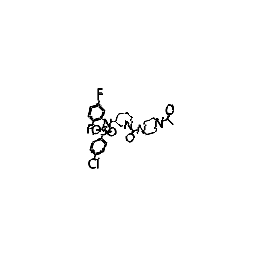 CC(=O)N1CCN(C(=O)N2CCCC(N(c3cc(F)ccc3F)S(=O)(=O)c3ccc(Cl)cc3)C2)CC1